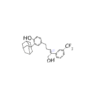 OC/C(=C\CCc1ccc(O)c(C23CC4CC(CC(C4)C2)C3)c1)c1cccc(C(F)(F)F)c1